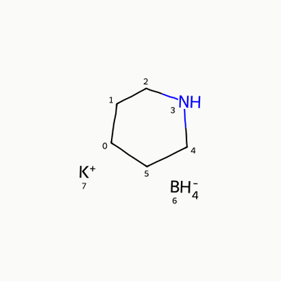 C1CCNCC1.[BH4-].[K+]